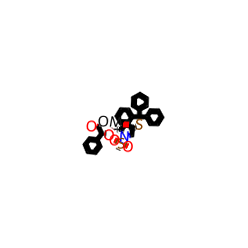 COC(=O)[C@H](OC[C@@H]1C[C@@H](SC(c2ccccc2)(c2ccccc2)c2ccccc2)CN1S(C)(=O)=O)c1ccccc1